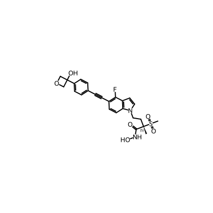 C[C@](CCn1ccc2c(F)c(C#Cc3ccc(C4(O)COC4)cc3)ccc21)(C(=O)NO)S(C)(=O)=O